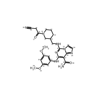 COc1cc(Nc2nc(NCC3CCCN(C(=O)CC#N)C3)n3ccnc3c2C(N)=O)cc(OC)c1